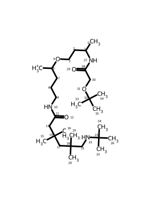 CC(CCOC(C)CCCNC(=O)CC(C)(C)CC(C)(C)CNC(C)(C)C)NC(=O)COC(C)(C)C